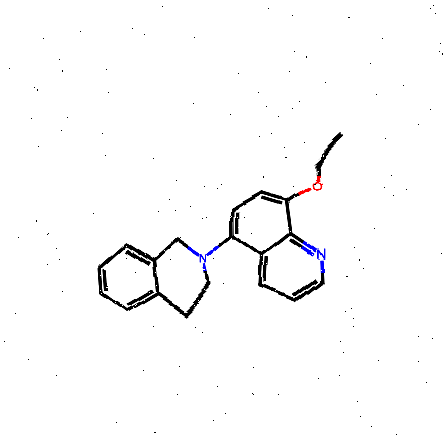 CCOc1ccc(N2CCc3ccccc3C2)c2cccnc12